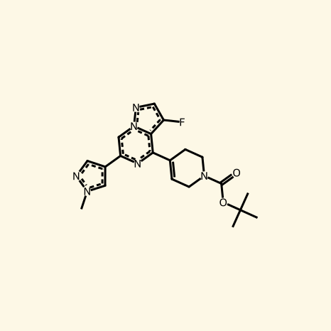 Cn1cc(-c2cn3ncc(F)c3c(C3=CCN(C(=O)OC(C)(C)C)CC3)n2)cn1